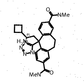 CNC(=O)c1ccc2c(c1)CCc1cc(C(=O)NC)ccc1C2(C[C@@H](N)C1CCC1)c1nnn[nH]1